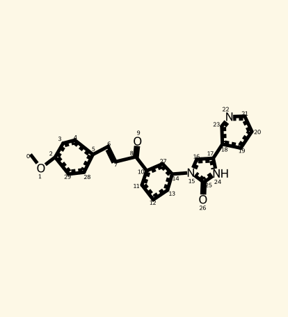 COc1ccc(C=CC(=O)c2cccc(-n3cc(-c4cccnc4)[nH]c3=O)c2)cc1